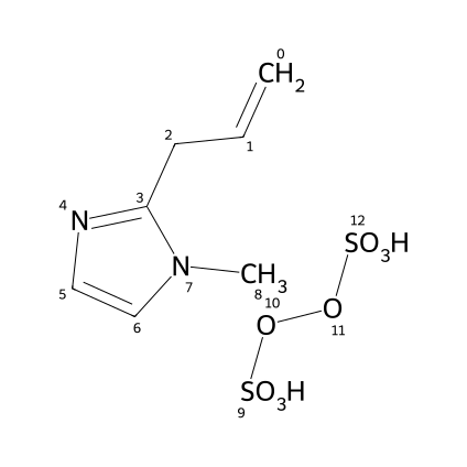 C=CCc1nccn1C.O=S(=O)(O)OOS(=O)(=O)O